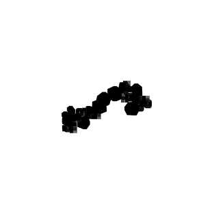 CCC(CC)[C@H](NC(=O)OC)C(=O)N1CCC[C@H]1c1ncc(-c2ccc3cc(-c4ccc(-c5cnc([C@@H]6CCCN6C(=O)[C@H](NC(=O)OC)c6ccccc6)[nH]5)cc4)ccc3c2)[nH]1